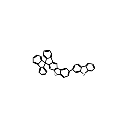 c1ccc2c(c1)-c1ccccc1C21c2ccccc2-c2cc3c(cc21)oc1ccc(-c2ccc4c(c2)sc2ccccc24)cc13